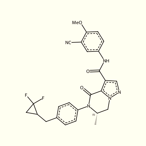 COc1ccc(NC(=O)c2cnn3c2C(=O)N(c2ccc(CC4CC4(F)F)cc2)[C@@H](C)C3)cc1C#N